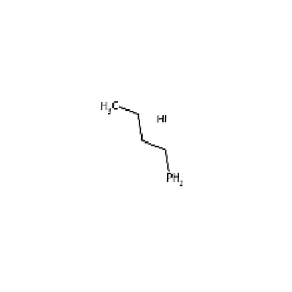 CCCCP.I